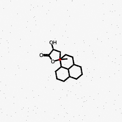 CC1(C23CCCC4CCCC(CCC2)C43)CC(O)C(=O)O1